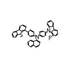 Fc1cccc2c3ccccc3n(-c3ccc(N(c4ccc(-c5cccc6c5sc5ccccc56)cc4)c4cccc5ccccc45)cc3)c12